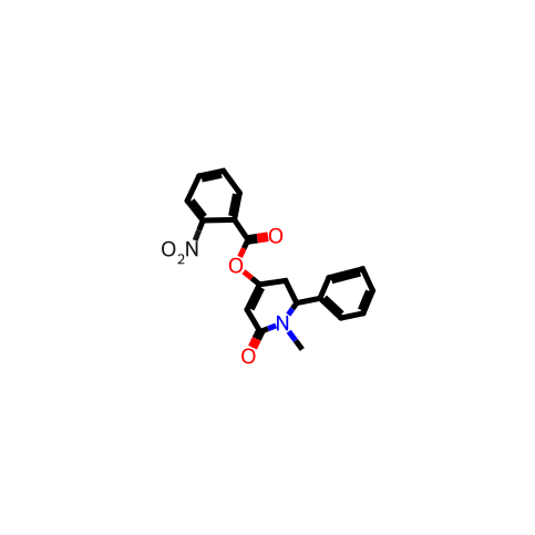 CN1C(=O)C=C(OC(=O)c2ccccc2[N+](=O)[O-])CC1c1ccccc1